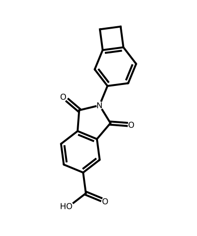 O=C(O)c1ccc2c(c1)C(=O)N(c1ccc3c(c1)CC3)C2=O